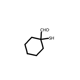 O=[C]C1(S)CCCCC1